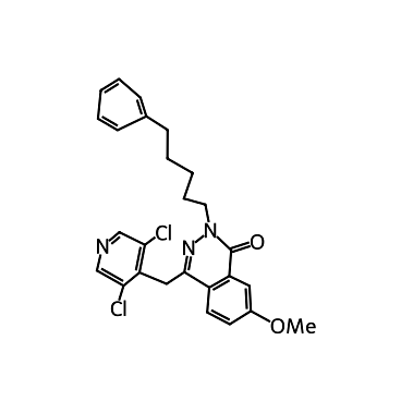 COc1ccc2c(Cc3c(Cl)cncc3Cl)nn(CCCCCc3ccccc3)c(=O)c2c1